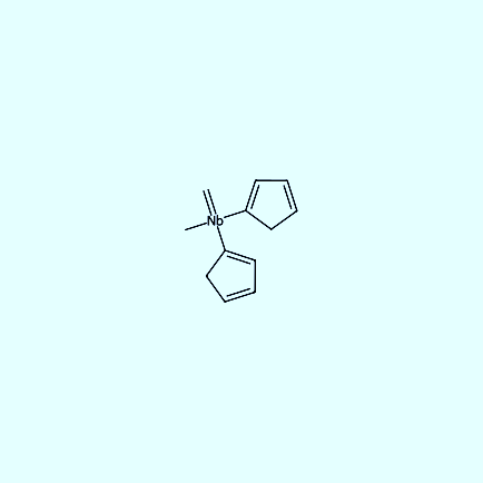 [CH2]=[Nb]([CH3])([C]1=CC=CC1)[C]1=CC=CC1